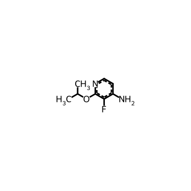 CC(C)Oc1nccc(N)c1F